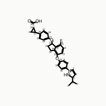 CC(C)C1C=CN(c2ccc(Oc3ccc(F)c4c3CCC4Oc3ccc(C4C[C@@H]4C(=O)O)cc3)cc2)N1